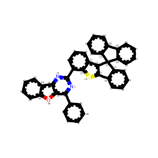 c1ccc(-c2nc(-c3cccc4c5c(sc34)-c3ccccc3C53c4ccccc4-c4ccccc43)nc3c2oc2ccccc23)cc1